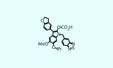 COc1cc2c(-c3ccc4c(c3)CCO4)c(OC(=O)O)n(Cc3ccc4nsnc4c3)c2cc1OC(C)C